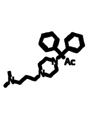 CC(=O)C(c1ccccc1)(c1ccccc1)N1CCN(CCCN(C)C)CC1